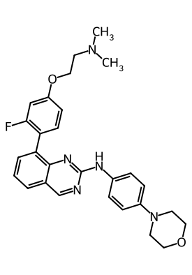 CN(C)CCOc1ccc(-c2cccc3cnc(Nc4ccc(N5CCOCC5)cc4)nc23)c(F)c1